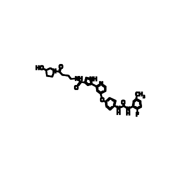 Cc1ccc(F)c(NC(=O)Nc2ccc(Oc3ccnc(-c4cc(C(=O)NCCCC(=O)N5CCC(O)C5)c[nH]4)c3)cc2)c1